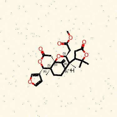 C=C1[C@@H]2CC[C@@]3(C)[C@H](c4ccoc4)OC(=O)C[C@]13O[C@@H](CC(=O)OC)[C@@]2(C)C1CC(=O)OC1(C)C